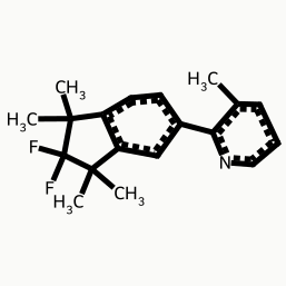 Cc1cccnc1-c1ccc2c(c1)C(C)(C)C(F)(F)C2(C)C